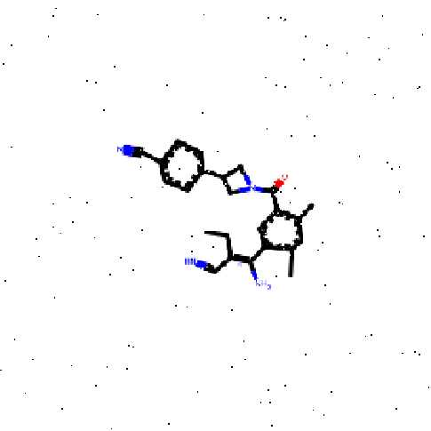 CC/C(C=N)=C(/N)c1cc(C(=O)N2CC(c3ccc(C#N)cc3)C2)c(C)cc1C